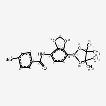 CC(C)(C)c1ccc(C(=O)Nc2ccc(B3OC(C)(C)C(C)(C)O3)c3c2OCO3)cc1